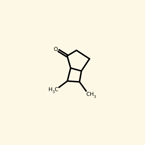 CC1C(C)C2C(=O)CCC12